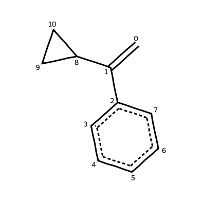 C=C(c1[c]cccc1)C1CC1